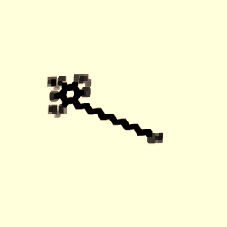 CC1=C(C)C(=O)C(CCCCCCCCCCCCO)=C(C)C1=O